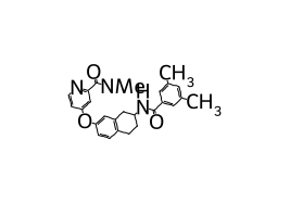 CNC(=O)c1cc(Oc2ccc3c(c2)CC(NC(=O)c2cc(C)cc(C)c2)CC3)ccn1